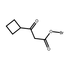 O=C(CC(=O)C1CCC1)OBr